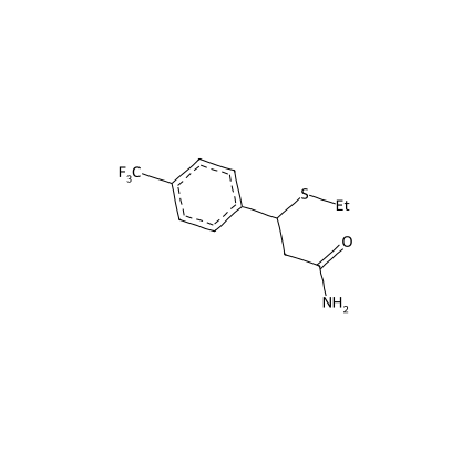 CCSC(CC(N)=O)c1ccc(C(F)(F)F)cc1